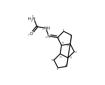 NC(=O)N/N=C1\CC2C3CCC4C3CC2C14